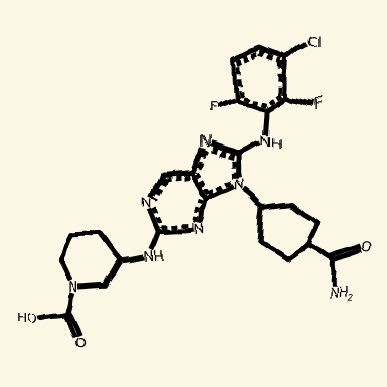 NC(=O)C1CCC(n2c(Nc3c(F)ccc(Cl)c3F)nc3cnc(NC4CCCN(C(=O)O)C4)nc32)CC1